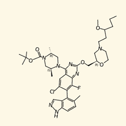 CCCC(CCN1CCO[C@@H](COc2nc(N3C[C@@H](C)N(C(=O)OC(C)(C)C)C[C@@H]3C)c3cc(Cl)c(-c4c(C)ccc5[nH]ncc45)c(F)c3n2)C1)OC